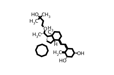 C=C1/C(=C\C=C2/CCC[C@]3(C)[C@@H]([C@H](C)OCCC(C)(C)O)CC[C@@H]23)C[C@@H](O)C[C@@H]1O.[CH]1CCCCCCC1